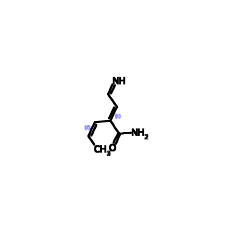 C/C=C\C(=C/C=N)C(N)=O